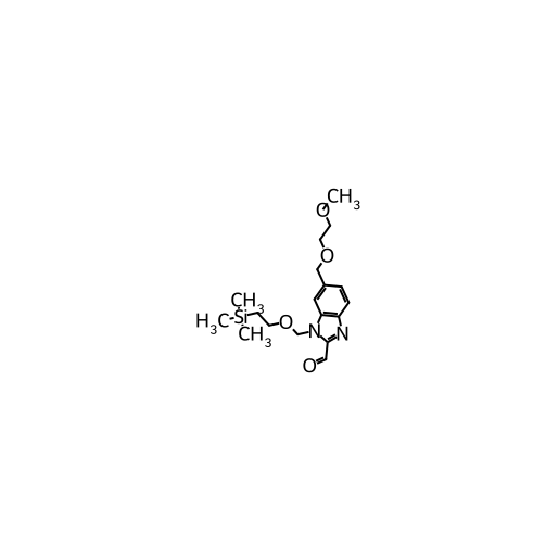 COCCOCc1ccc2nc(C=O)n(COCC[Si](C)(C)C)c2c1